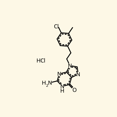 Cc1cc(CCn2cnc3c(=O)[nH]c(N)nc32)ccc1Cl.Cl